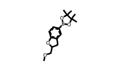 COCC1Cc2cc(B3OC(C)(C)C(C)(C)O3)ccc2O1